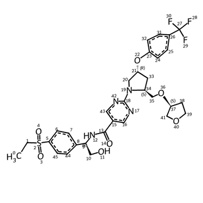 CCS(=O)(=O)c1ccc([C@H](CO)NC(=O)c2cnc(N3C[C@H](Oc4ccc(C(F)(F)F)cc4)C[C@H]3CO[C@H]3CCOC3)nc2)cc1